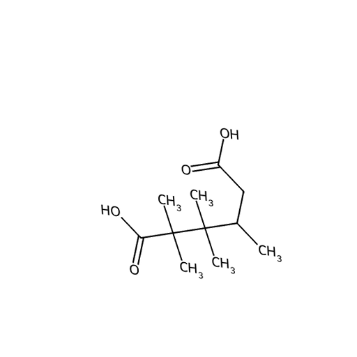 CC(CC(=O)O)C(C)(C)C(C)(C)C(=O)O